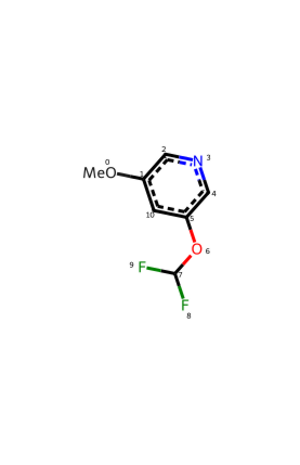 COc1[c]ncc(OC(F)F)c1